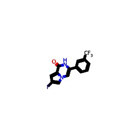 O=c1[nH]c(-c2cccc(C(F)(F)F)c2)cn2cc(I)cc12